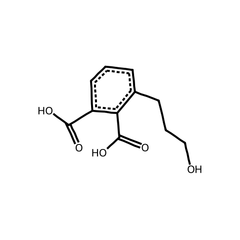 O=C(O)c1cccc(CCCO)c1C(=O)O